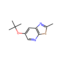 Cc1nc2cc(OC(C)(C)C)cnc2s1